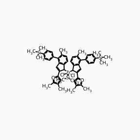 Cc1cc(C2=Cc3c(ccc(C)c3-c3ccc([Si](C)(C)C)cc3)[CH]2[Zr]([Cl])([Cl])([CH]2C(c3cc(C)c(C)o3)=Cc3c2ccc(C)c3-c2ccc([Si](C)(C)C)cc2)=[Si](C)C)oc1C